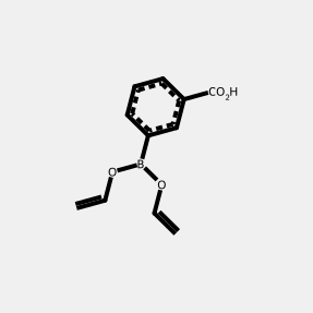 C=COB(OC=C)c1cccc(C(=O)O)c1